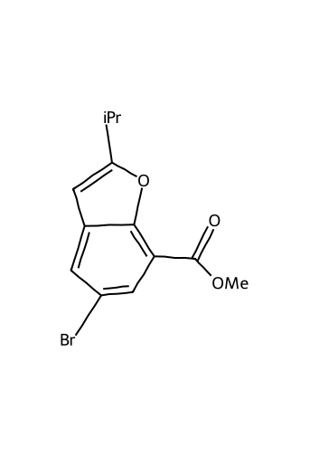 COC(=O)c1cc(Br)cc2cc(C(C)C)oc12